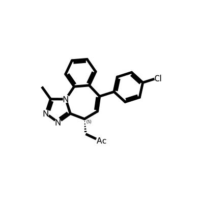 CC(=O)C[C@H]1C=C(c2ccc(Cl)cc2)c2ccccc2-n2c(C)nnc21